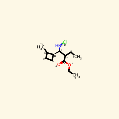 CCOC(=O)C(CC)C(NCl)[C@H]1CCC1C